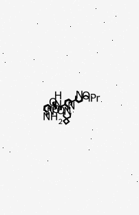 CC(C)Oc1ccc(-c2ccc(C(=O)NS(=O)(=O)c3cccc(N)n3)c(N3CCC4(CCC4)CC3)n2)cn1